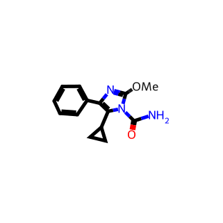 COc1nc(-c2ccccc2)c(C2CC2)n1C(N)=O